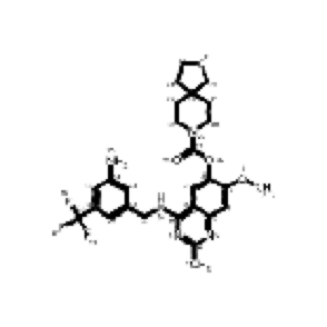 COc1cc2nc(C)nc(NCc3cc(N)cc(C(F)(F)F)c3)c2cc1OC(=O)N1CCC2(CCOC2)CC1